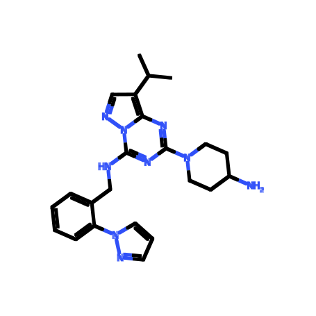 CC(C)c1cnn2c(NCc3ccccc3-n3cccn3)nc(N3CCC(N)CC3)nc12